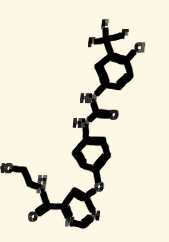 O=C(Nc1ccc(Oc2cc(C(=O)NCCO)ncn2)cc1)Nc1ccc(Cl)c(C(F)(F)F)c1